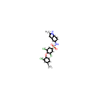 Cc1cc2cc(NS(=O)(=O)c3cc(Cl)c(Oc4ccc([N+](=O)[O-])cc4Cl)c(Cl)c3)ccc2[nH]1